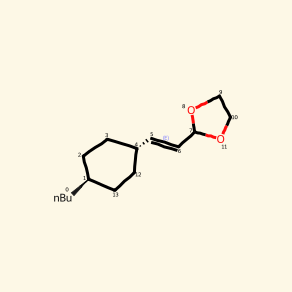 CCCC[C@H]1CC[C@H](/C=C/C2OCCO2)CC1